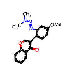 COc1ccc(-c2coc3ccccc3c2=O)c(N=NN(C)C)c1